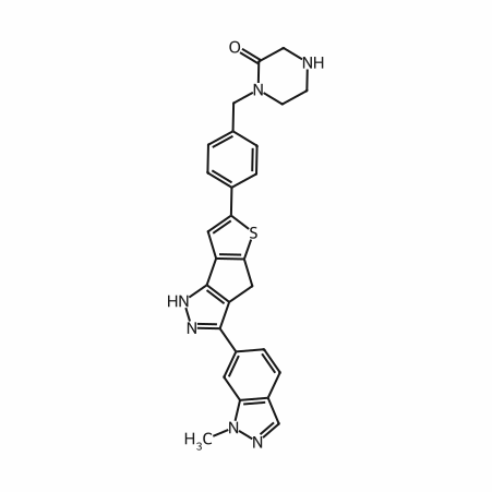 Cn1ncc2ccc(-c3n[nH]c4c3Cc3sc(-c5ccc(CN6CCNCC6=O)cc5)cc3-4)cc21